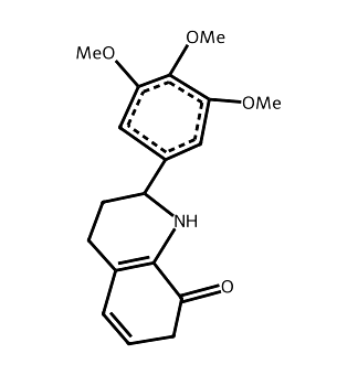 COc1cc(C2CCC3=C(N2)C(=O)CC=C3)cc(OC)c1OC